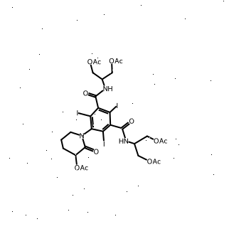 CC(=O)OCC(COC(C)=O)NC(=O)c1c(I)c(C(=O)NC(COC(C)=O)COC(C)=O)c(I)c(N2CCCC(OC(C)=O)C2=O)c1I